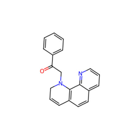 O=C(CN1CC=Cc2ccc3cccnc3c21)c1ccccc1